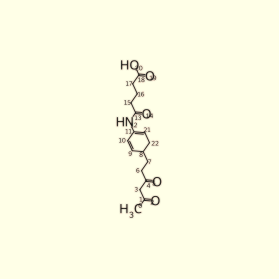 CC(=O)CC(=O)CCC1C=CC(NC(=O)CCCC(=O)O)=CC1